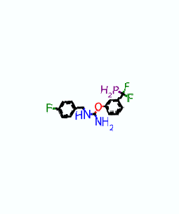 NC(NCc1ccc(F)cc1)Oc1cccc(C(F)(F)P)c1